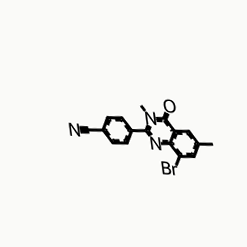 Cc1cc(Br)c2nc(-c3ccc(C#N)cc3)n(C)c(=O)c2c1